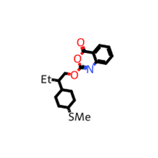 CCC(COc1nc2ccccc2c(=O)o1)C1CCC(SC)CC1